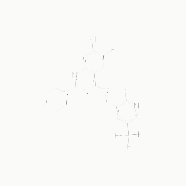 Fc1cc2c(N3CCc4ncc(C(F)(F)F)cc4C3)nc(N3CCOCC3)nc2cc1Cl